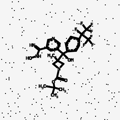 CC(C)(C)OC(=O)N1CC(C)(C(O)(c2ccc(C(F)(C(F)(F)F)C(F)(F)F)cc2)c2cncc(C(=N)NO)c2)C1